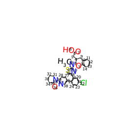 CN(C(=O)C(CC(=O)O)Cc1ccccc1)c1nc(-c2cc(Cl)ccc2-c2ccc(N3CCCCC3=O)nc2)cs1